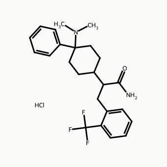 CN(C)C1(c2ccccc2)CCC(C(Cc2ccccc2C(F)(F)F)C(N)=O)CC1.Cl